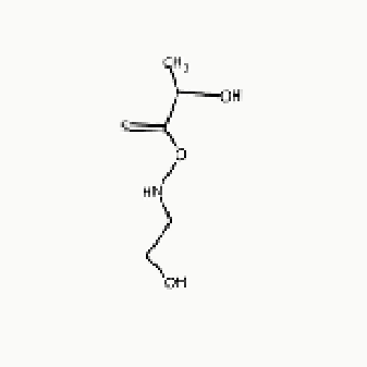 CC(O)C(=S)ONCCO